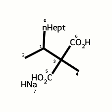 CCCCCCCC(C)C(C)(C(=O)O)C(=O)O.[NaH]